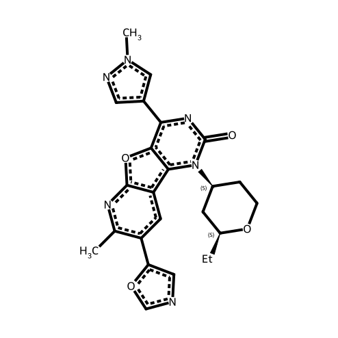 CC[C@H]1C[C@@H](n2c(=O)nc(-c3cnn(C)c3)c3oc4nc(C)c(-c5cnco5)cc4c32)CCO1